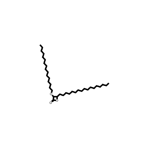 CCCCCCCCCCCCCCCCCC1OC(=O)C1OCCCCCCCCCCCCCCCC